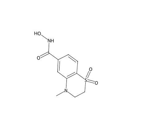 CN1CCS(=O)(=O)c2ccc(C(=O)NO)cc21